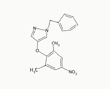 Cc1cc([N+](=O)[O-])cc(C)c1Oc1cnn(Cc2ccccc2)c1